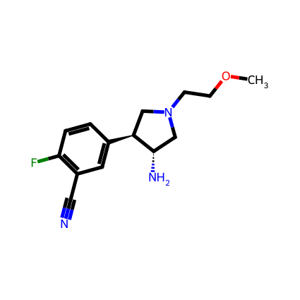 COCCN1C[C@H](c2ccc(F)c(C#N)c2)[C@@H](N)C1